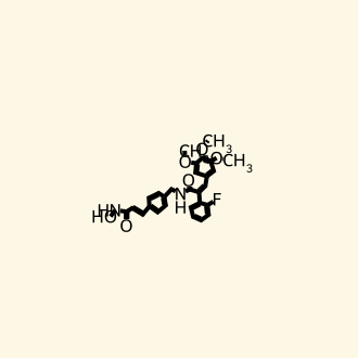 COc1cc(C=C(C(=O)NCc2ccc(/C=C/C(=O)NO)cc2)c2ccccc2F)cc(OC)c1OC